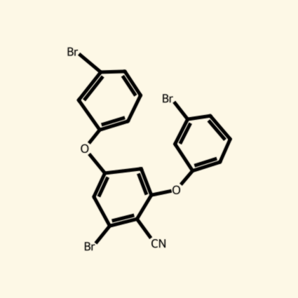 N#Cc1c(Br)cc(Oc2cccc(Br)c2)cc1Oc1cccc(Br)c1